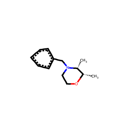 C[C@@H]1OCCN(Cc2ccccc2)[C@@H]1C